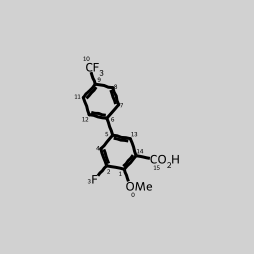 COc1c(F)cc(-c2ccc(C(F)(F)F)cc2)cc1C(=O)O